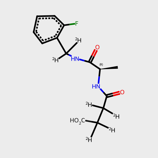 [2H]C([2H])(NC(=O)[C@@H](C)NC(=O)C([2H])([2H])C([2H])([2H])C(=O)O)c1ccccc1F